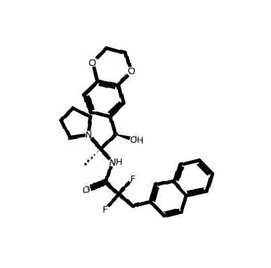 C[C@@](NC(=O)C(F)(F)Cc1ccc2ccccc2c1)([C@H](O)c1ccc2c(c1)OCCO2)N1CCCC1